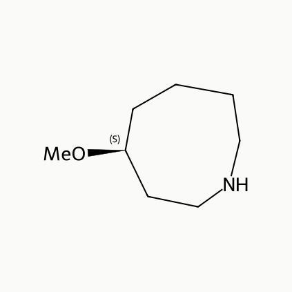 CO[C@H]1CCCCNCC1